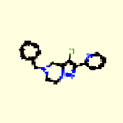 Clc1c(-c2ccccn2)nn2c1CN(Cc1ccccc1)CC2